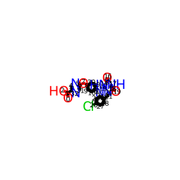 O=C(O)c1cnc(Oc2ccc(/N=c3\[nH]c(=O)[nH]c(=O)n3Cc3ccc(Cl)cc3)cc2)cn1